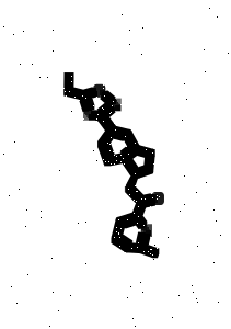 CCc1nc(-c2ccc3c(c2)CC[C@H]3CC(=O)c2cccc(C)n2)no1